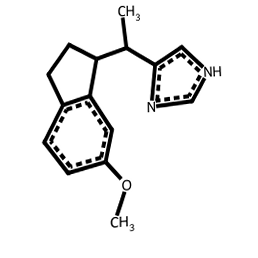 COc1ccc2c(c1)C(C(C)c1c[nH]cn1)CC2